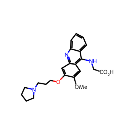 COc1cc2c(NCC(=O)O)c3ccccc3nc2cc1OCCCN1CCCC1